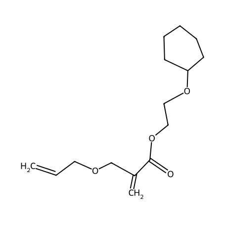 C=CCOCC(=C)C(=O)OCCOC1CCCCC1